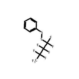 FC(F)(F)C(F)(F)C(F)(F)C(F)(F)SSc1ccccc1